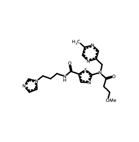 COCCC(=O)N(Cc1cnc(C)cn1)c1ncc(C(=O)NCCCn2ccnc2)s1